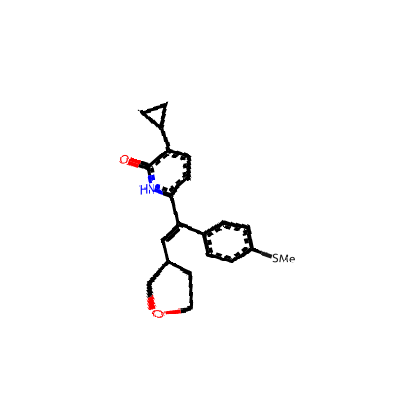 CSc1ccc(/C(=C\C2CCOC2)c2ccc(C3CC3)c(=O)[nH]2)cc1